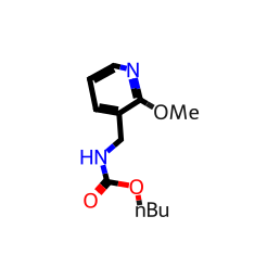 CCCCOC(=O)NCc1cccnc1OC